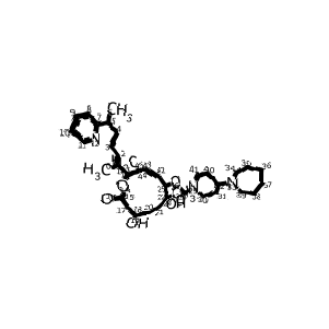 CC(=CC=CC(C)c1ccccn1)C1OC(=O)CC(O)CCC(C)(O)C(OC(=O)N2CCC(N3CCCCCC3)CC2)C=CC1C